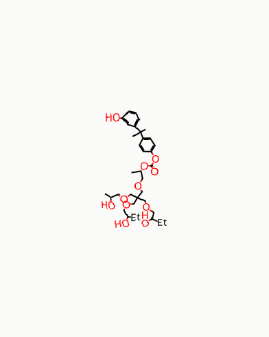 CCC(O)COCC(COCC(C)O)(COCC(O)CC)COCC(C)OC(=O)Oc1ccc(C(C)(C)c2cccc(O)c2)cc1